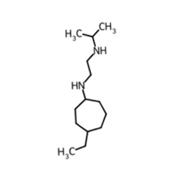 CCC1CCCC(NCCNC(C)C)CC1